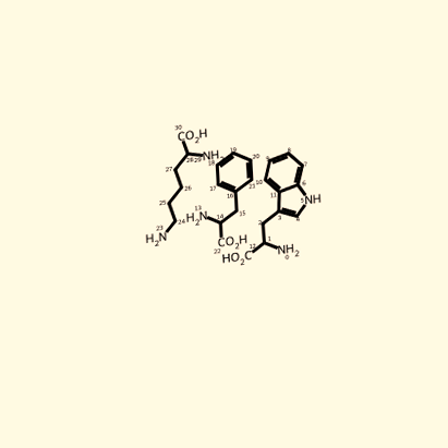 NC(Cc1c[nH]c2ccccc12)C(=O)O.NC(Cc1ccccc1)C(=O)O.NCCCCC(N)C(=O)O